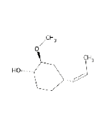 C/C=C\[C@@H]1CC[C@H](O)[C@@H](OC)C1